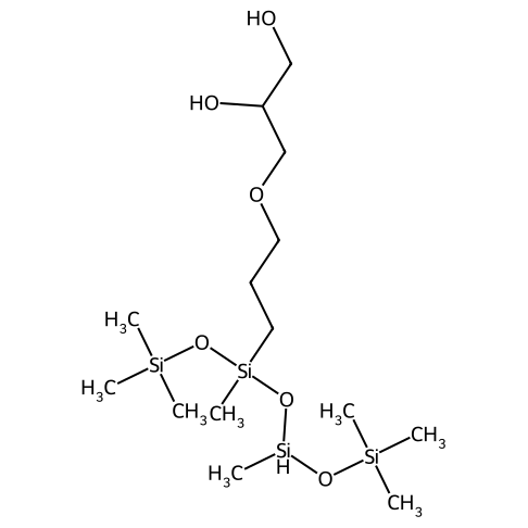 C[SiH](O[Si](C)(C)C)O[Si](C)(CCCOCC(O)CO)O[Si](C)(C)C